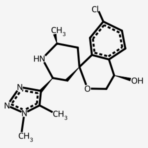 Cc1c([C@@H]2C[C@]3(C[C@H](C)N2)OC[C@H](O)c2ccc(Cl)cc23)nnn1C